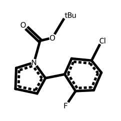 CC(C)(C)OC(=O)n1cccc1-c1cc(Cl)ccc1F